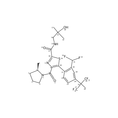 C[C@@H]1CCCN1C(=O)c1nc(C(=O)NCC(C)(C)O)sc1-c1ccc(C(C)(C(F)(F)F)C(F)(F)F)cc1C(F)F